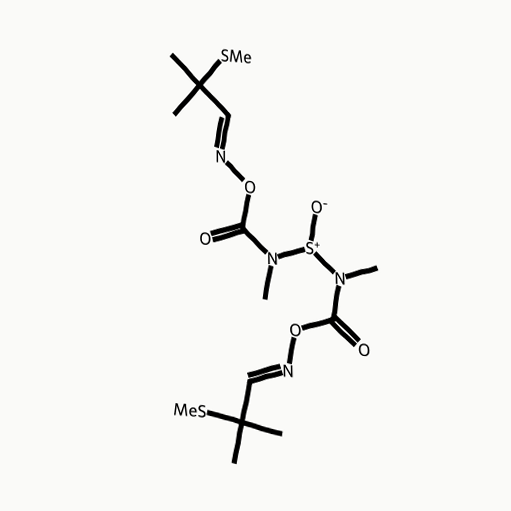 CSC(C)(C)C=NOC(=O)N(C)[S+]([O-])N(C)C(=O)ON=CC(C)(C)SC